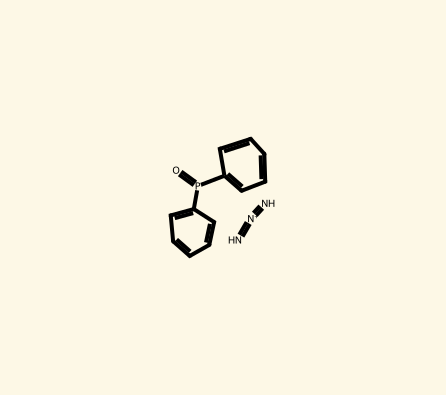 N=[N+]=N.O=[P](c1ccccc1)c1ccccc1